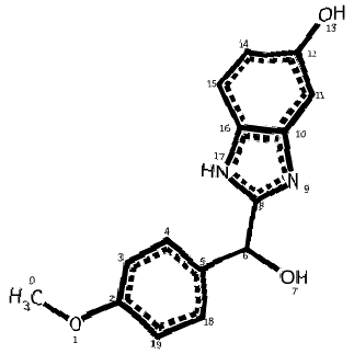 COc1ccc(C(O)c2nc3cc(O)ccc3[nH]2)cc1